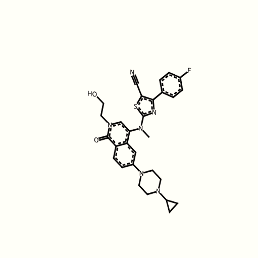 CN(c1nc(-c2ccc(F)cc2)c(C#N)s1)c1cn(CCO)c(=O)c2ccc(N3CCN(C4CC4)CC3)cc12